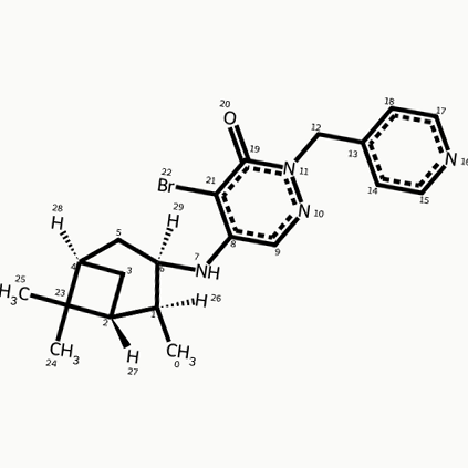 C[C@H]1[C@H]2C[C@H](C[C@H]1Nc1cnn(Cc3ccncc3)c(=O)c1Br)C2(C)C